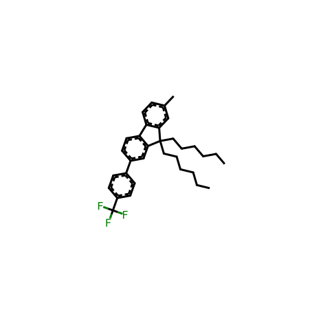 CCCCCCC1(CCCCCC)c2cc(C)ccc2-c2ccc(-c3ccc(C(F)(F)F)cc3)cc21